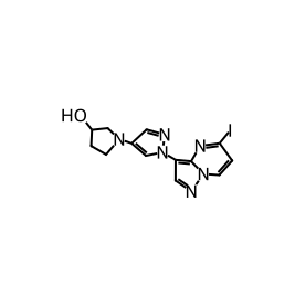 OC1CCN(c2cnn(-c3cnn4ccc(I)nc34)c2)C1